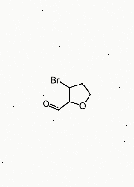 O=CC1OCCC1Br